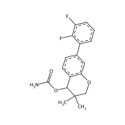 CC1(C)COc2cc(-c3cccc(F)c3F)ccc2C1OC(N)=O